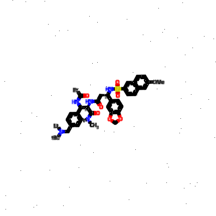 CCC(=O)NC(c1ccc(CN(CC)C(C)(C)C)cc1)[C@@H](NC(=O)C[C@@H](NS(=O)(=O)c1ccc2cc(OC)ccc2c1)c1ccc2c(c1)OCO2)C(=O)N(C)C(C)C